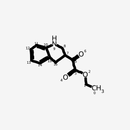 CCOC(=O)C(=O)C1CNc2ccccc2C1